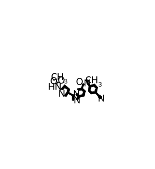 COC(=O)Nc1ccc(-c2cnc3ccc(C(=O)N(C)c4ccc(C#N)cc4)cn23)cn1